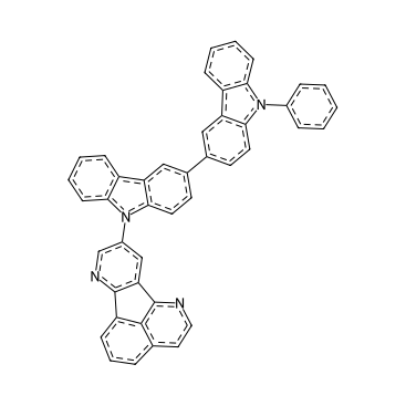 c1ccc(-n2c3ccccc3c3cc(-c4ccc5c(c4)c4ccccc4n5-c4cnc5c(c4)-c4nccc6cccc-5c46)ccc32)cc1